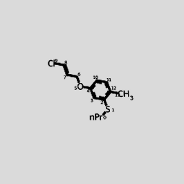 CCCSc1cc(OC/C=C/Cl)ccc1C